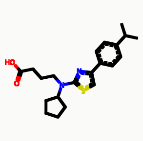 CC(C)c1ccc(-c2csc(N(CCCC(=O)O)C3CCCC3)n2)cc1